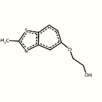 Cc1nc2cc(OCCO)ccc2s1